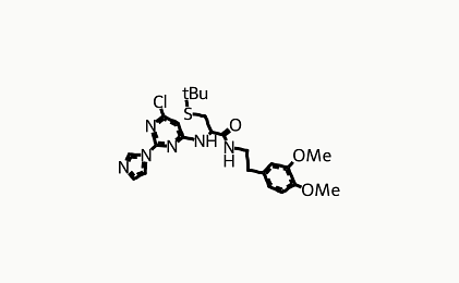 COc1ccc(CCNC(=O)C(CSC(C)(C)C)Nc2cc(Cl)nc(-n3ccnc3)n2)cc1OC